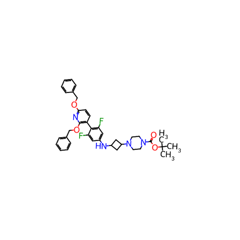 CC(C)(C)OC(=O)N1CCN(C2CC(Nc3cc(F)c(-c4ccc(OCc5ccccc5)nc4OCc4ccccc4)c(F)c3)C2)CC1